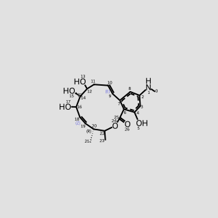 CNc1cc(O)c2c(c1)/C=C/CC(O)[C@H](O)C(O)/C=C\[C@@H](C)C(C)OC2=O